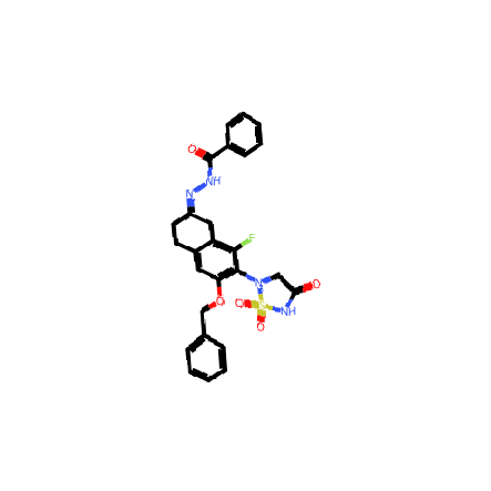 O=C1CN(c2c(OCc3ccccc3)cc3c(c2F)CC(=NNC(=O)c2ccccc2)CC3)S(=O)(=O)N1